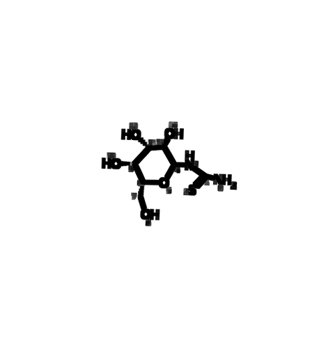 NC(=S)NC1O[C@H](CO)[C@H](O)[C@H](O)[C@H]1O